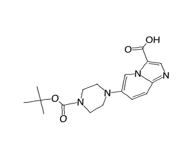 CC(C)(C)OC(=O)N1CCN(c2ccc3ncc(C(=O)O)n3c2)CC1